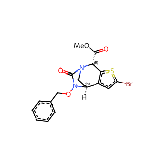 COC(=O)[C@@H]1c2sc(Br)cc2[C@@H]2CN1C(=O)N2OCc1ccccc1